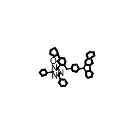 c1ccc(-c2nc(-c3ccccc3)nc(-c3c(Cc4ccc(C5c6ccccc6-c6cc7ccccc7cc65)cc4)ccc4c3oc3ccccc34)n2)cc1